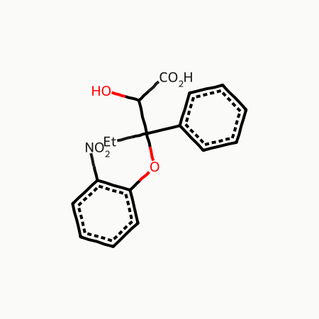 CCC(Oc1ccccc1[N+](=O)[O-])(c1ccccc1)C(O)C(=O)O